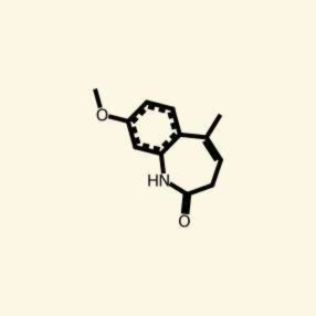 COc1ccc2c(c1)NC(=O)CC=C2C